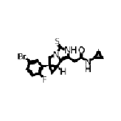 O=C(Cc1[nH]c(=S)n2c1[C@@H]1C[C@]1(c1cc(Br)ccc1F)C2)NC1CC1